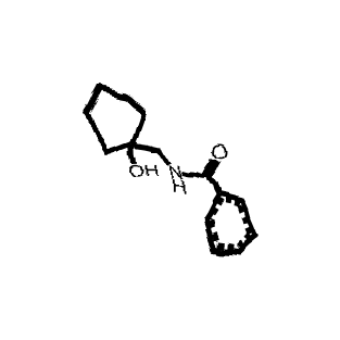 O=C(NCC1(O)CCCCC1)c1ccccc1